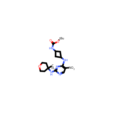 CC1(Nc2ncc([N+](=O)[O-])c(NC3CC(NC(=O)OC(C)(C)C)C3)n2)CCOCC1